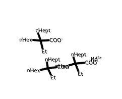 CCCCCCCC(CC)(CCCCCC)C(=O)[O-].CCCCCCCC(CC)(CCCCCC)C(=O)[O-].CCCCCCCC(CC)(CCCCCC)C(=O)[O-].[Nd+3]